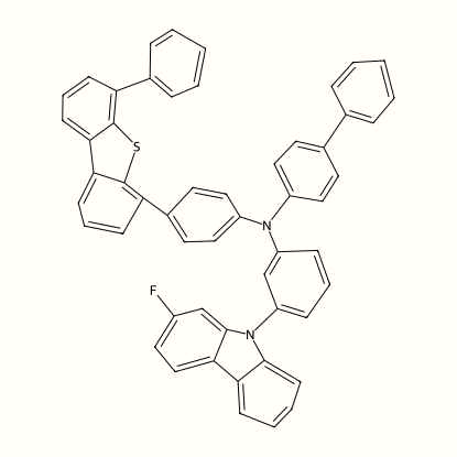 Fc1ccc2c3ccccc3n(-c3cccc(N(c4ccc(-c5ccccc5)cc4)c4ccc(-c5cccc6c5sc5c(-c7ccccc7)cccc56)cc4)c3)c2c1